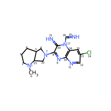 CN1CCCC2CN(c3nc4ncc(Cl)cc4n(C=N)c3=N)CC21